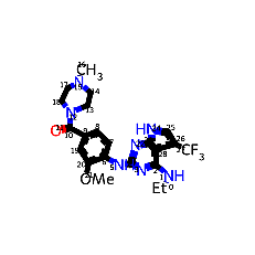 CCNc1nc(Nc2ccc(C(=O)N3CCN(C)CC3)cc2OC)nc2[nH]cc(C(F)(F)F)c12